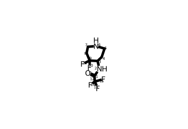 O=C(NC1CCNCCC1(F)F)C(F)(F)F